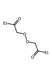 CCC(=O)COOCC(=O)CC